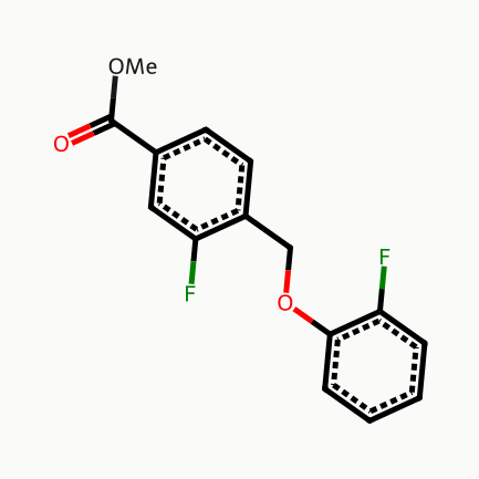 COC(=O)c1ccc(COc2ccccc2F)c(F)c1